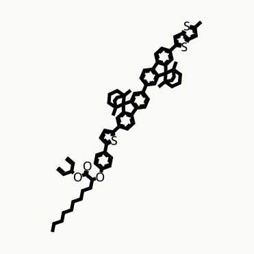 C=CC(C=C)OC(=O)C(CCCCCCCCC)Oc1ccc(-c2ccc(-c3ccc4c(c3)C3(c5cc(-c6ccc7c(c6)C6(c8cc(-c9cc%10sc(C)cc%10s9)ccc8-7)C7(C)CCCC6(C)CC7)ccc5-4)C4(C)CCCC3(C)CC4)s2)cc1